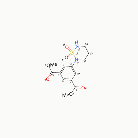 COC(=O)c1cc(C(=O)OC)cc(N2CCCNS2(=O)=O)c1